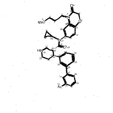 COCCCN1C(=O)COc2ccc(N(C(=O)[C@H]3CNCC[C@@H]3c3cccc(-c4cccc(C(C)=O)c4)c3)C3CC3)cc21